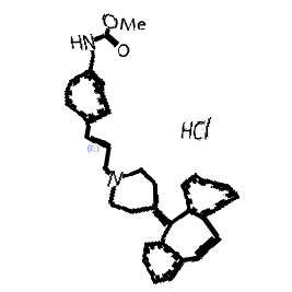 COC(=O)Nc1ccc(/C=C/CN2CCC(=C3c4ccccc4C=Cc4ccccc43)CC2)cc1.Cl